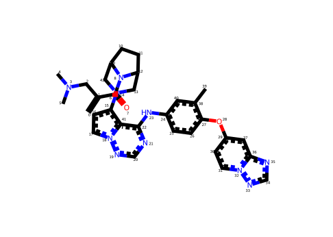 C=C(CN(C)C)C(=O)N1C2CCC1CN(c1ccn3ncnc(Nc4ccc(Oc5ccn6ncnc6c5)c(C)c4)c13)C2